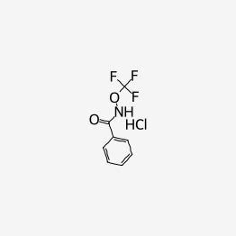 Cl.O=C(NOC(F)(F)F)c1ccccc1